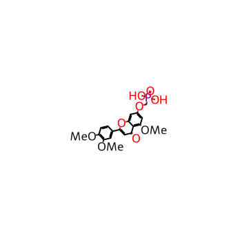 COc1ccc(-c2cc(=O)c3c(OC)cc(OCP(=O)(O)O)cc3o2)cc1OC